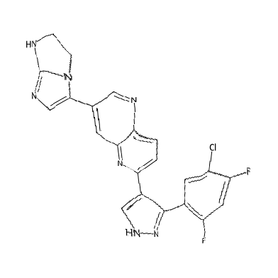 Fc1cc(F)c(-c2n[nH]cc2-c2ccc3ncc(-c4cnc5n4CCN5)cc3n2)cc1Cl